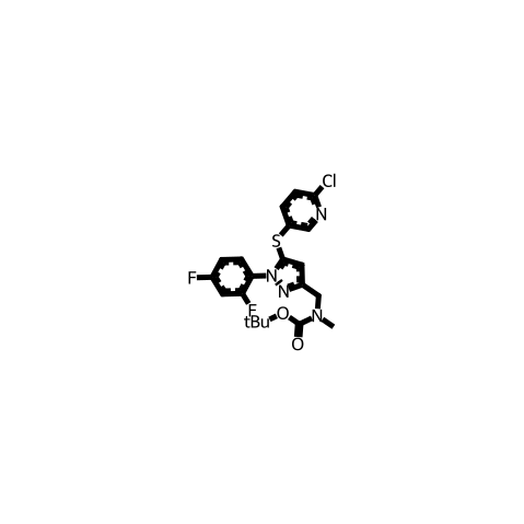 CN(Cc1cc(Sc2ccc(Cl)nc2)n(-c2ccc(F)cc2F)n1)C(=O)OC(C)(C)C